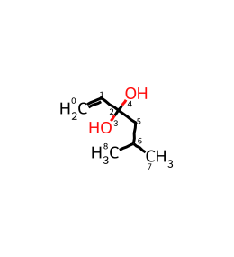 C=CC(O)(O)CC(C)C